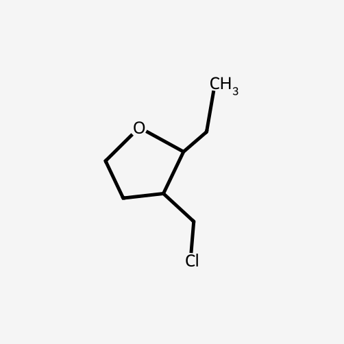 CCC1OCCC1CCl